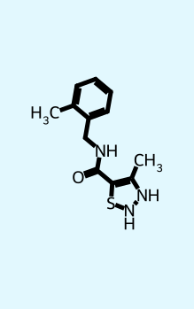 CC1=C(C(=O)NCc2ccccc2C)SNN1